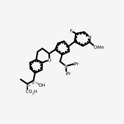 COc1cc(-c2ccc(C3CCc4ccc([C@H](O)[C@H](C)C(=O)O)cc4O3)c(CN(C(C)C)C(C)C)c2)c(F)cn1